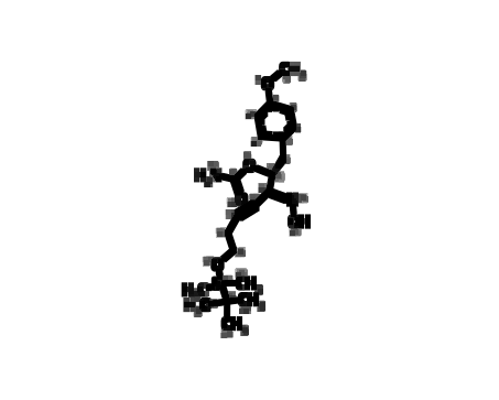 COc1ccc(C[C@H](OC(N)=O)C(C#CCCO[Si](C)(C)C(C)(C)C)=NO)cc1